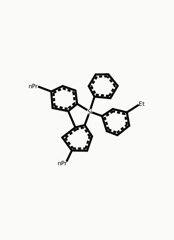 CCCc1ccc2c(c1)-c1cc(CCC)ccc1[Si]2(c1ccccc1)c1cccc(CC)c1